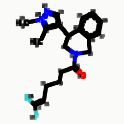 Cc1c(C2CN(C(=O)CCCC=C(F)F)Cc3ccccc32)cnn1C